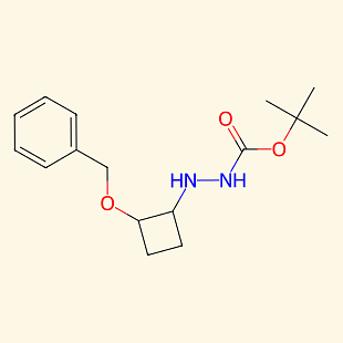 CC(C)(C)OC(=O)NNC1CCC1OCc1ccccc1